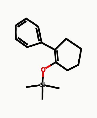 C[Si](C)(C)OC1=C(c2ccccc2)CCCC1